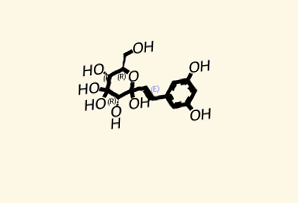 OC[C@H]1OC(O)(/C=C/c2cc(O)cc(O)c2)[C@H](O)C(O)(O)[C@@H]1O